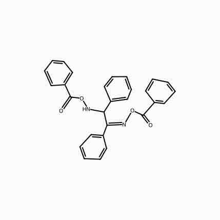 O=C(O/N=C(/c1ccccc1)C(NOC(=O)c1ccccc1)c1ccccc1)c1ccccc1